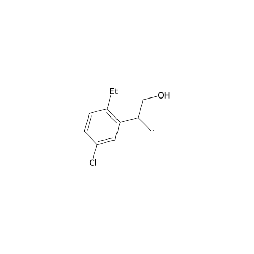 [CH2]C(CO)c1cc(Cl)ccc1CC